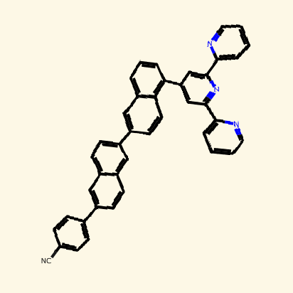 N#Cc1ccc(-c2ccc3cc(-c4ccc5c(-c6cc(-c7ccccn7)nc(-c7ccccn7)c6)cccc5c4)ccc3c2)cc1